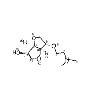 CN(C)CCO[C@H]1CO[C@H]2[C@@H]1OC[C@H]2O